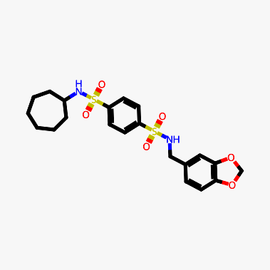 O=S(=O)(NCc1ccc2c(c1)OCO2)c1ccc(S(=O)(=O)NC2CCCCCC2)cc1